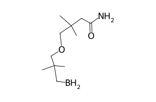 BCC(C)(C)COCC(C)(C)CC(N)=O